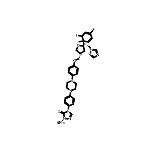 CC[C@H](C)n1ncn(-c2ccc(N3CCN(c4ccc(OC[C@@H]5CO[C@@](Cn6cncn6)(C6(C)C=CC(F)=CC6F)C5)cc4)CC3)cc2)c1=O